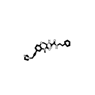 CN1C(=O)[C@@H](NC(=O)C(=O)NCCc2ccccc2)COc2ccc(C#CCn3ccnc3)cc21